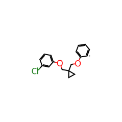 Clc1cccc(OCC2(COc3[c]cccc3)CC2)c1